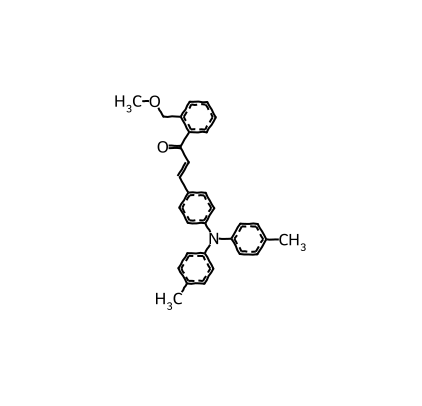 COCc1ccccc1C(=O)/C=C/c1ccc(N(c2ccc(C)cc2)c2ccc(C)cc2)cc1